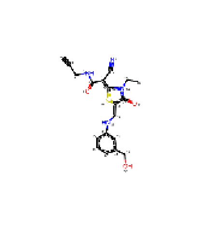 C#CCNC(=O)C(C#N)=c1sc(=CNc2cccc(CO)c2)c(=O)n1CC